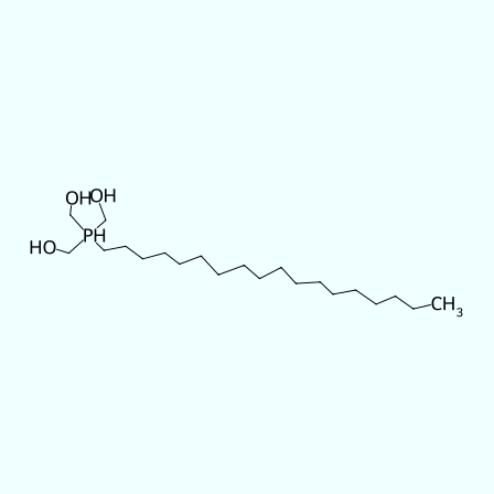 CCCCCCCCCCCCCCCCCC[PH](CO)(CO)CO